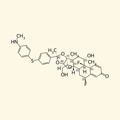 CNc1ccc(Sc2ccc([C@]3(C)O[C@@H]4C[C@H]5[C@@H]6C[C@H](F)C7=CC(=O)C=C[C@]7(C)[C@@]6(F)[C@@H](O)C[C@]5(C)[C@]4(C(=O)CO)O3)cc2)cc1